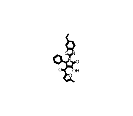 CCc1ccc2nc(N3C(=O)C(O)=C(C(=O)c4ccc(C)o4)C3c3ccccc3)sc2c1